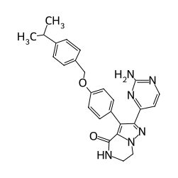 CC(C)c1ccc(COc2ccc(-c3c(-c4ccnc(N)n4)nn4c3C(=O)NCC4)cc2)cc1